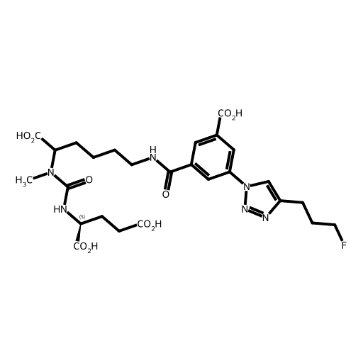 CN(C(=O)N[C@@H](CCC(=O)O)C(=O)O)C(CCCCNC(=O)c1cc(C(=O)O)cc(-n2cc(CCCF)nn2)c1)C(=O)O